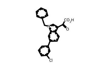 O=C(O)C(=O)c1cn(Cc2ccccc2)c2cc(-c3cccc(Cl)c3)ccc12